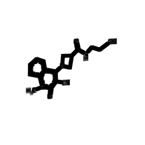 Cn1c(=O)c(C#N)c(N2CC(C(=O)NCCO)C2)c2ccccc21